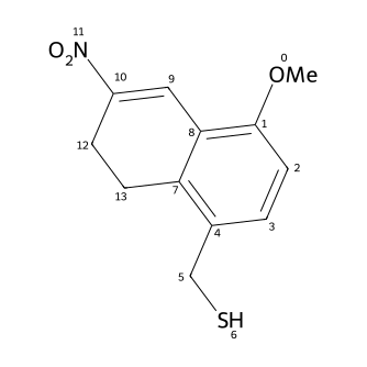 COc1ccc(CS)c2c1C=C([N+](=O)[O-])CC2